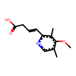 COc1c(C)cnc(C=CCC(=O)O)c1C